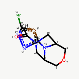 CC(=O)N1CC2COCC(C1)N2c1nnc(Br)s1